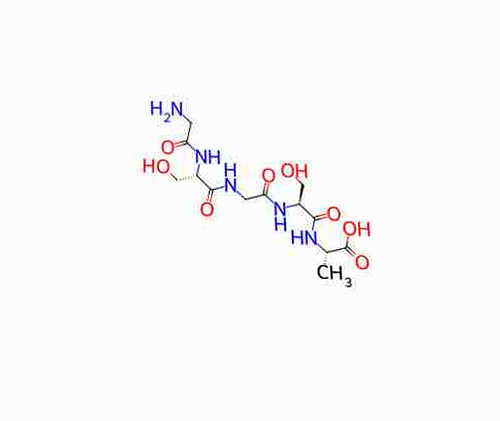 C[C@H](NC(=O)[C@H](CO)NC(=O)CNC(=O)[C@H](CO)NC(=O)CN)C(=O)O